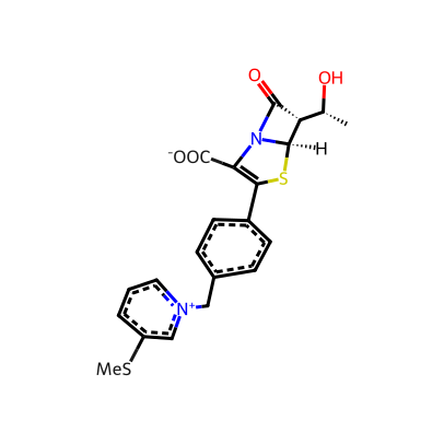 CSc1ccc[n+](Cc2ccc(C3=C(C(=O)[O-])N4C(=O)[C@H]([C@@H](C)O)[C@H]4S3)cc2)c1